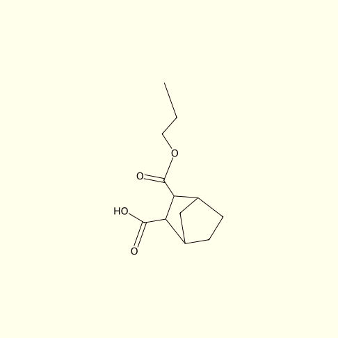 CCCOC(=O)C1C2CCC(C2)C1C(=O)O